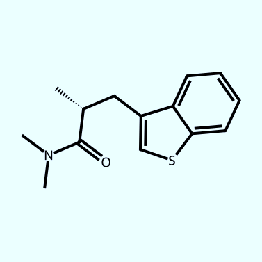 C[C@H](Cc1csc2ccccc12)C(=O)N(C)C